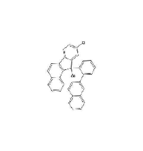 OC1(c2ccccc2-c2ccc3ccccc3c2)c2cc(Cl)ccc2-c2ccc3ccccc3c21